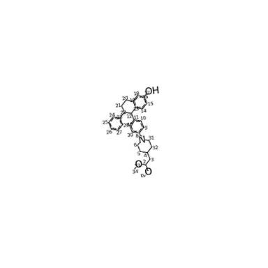 COC(CC1CCN(c2ccc(C3c4ccc(O)cc4CCC3c3ccccc3)cc2)CC1)OC